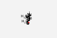 Cn1c(=O)n(C(=O)N2CC(C3(C)C=CC=CC3)C2)c2cnc(I)nc21